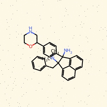 CN(C)C1(Cc2ccccc2)c2cccc3cccc(c23)C1(N)c1ccc(C2CNCCO2)cc1